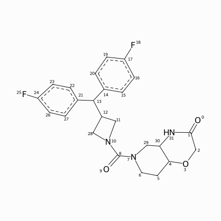 O=C1COC2CCN(C(=O)N3CC(C(c4ccc(F)cc4)c4ccc(F)cc4)C3)CC2N1